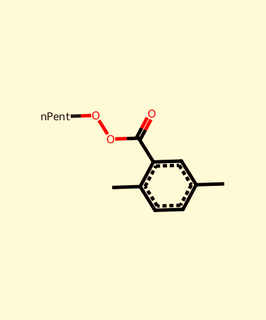 [CH2]CCCCOOC(=O)c1cc(C)ccc1C